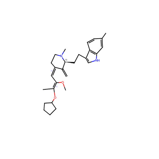 C=C1/C(=C\C(OC)=C(/C)OC2CCCC2)CCN(C)[C@H]1CCc1c[nH]c2cc(C)ccc12